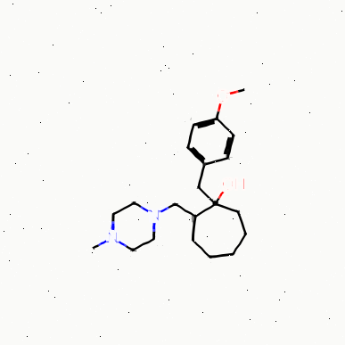 COc1ccc(CC2(O)CCCCCC2CN2CCN(C)CC2)cc1